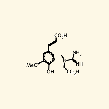 CN(CC(=O)O)C(=N)N.COc1cc(/C=C/C(=O)O)ccc1O